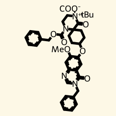 COc1cc2ncn(Cc3ccccc3)c(=O)c2cc1OC1CCC2(CC1)C(=O)[N@+](C(=O)[O-])(C(C)(C)C)CCN2C(=O)OCc1ccccc1